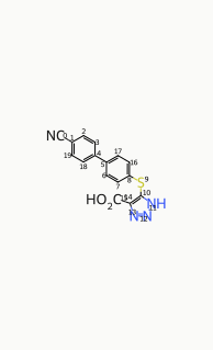 N#Cc1ccc(-c2ccc(Sc3[nH]nnc3C(=O)O)cc2)cc1